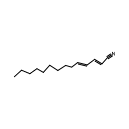 CCCCCCCCC/C=C/C=C/C#N